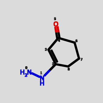 NNC1=CC(=O)CCC1